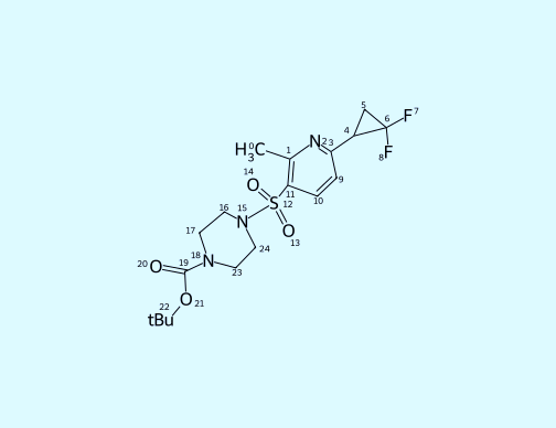 Cc1nc(C2CC2(F)F)ccc1S(=O)(=O)N1CCN(C(=O)OC(C)(C)C)CC1